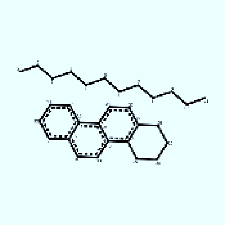 CCCCCCCCCCCC.c1ccc2c(c1)ccc1c3c(ccc12)CCCC3